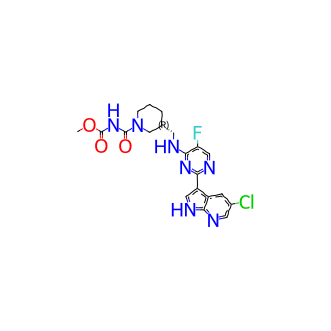 COC(=O)NC(=O)N1CCC[C@H](CNc2nc(-c3c[nH]c4ncc(Cl)cc34)ncc2F)C1